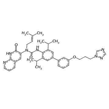 CC(C)=CCN(C(=O)Nc1c(C(C)C)cc(-c2cccc(OCCCn3cncn3)c2)cc1C(C)C)c1cc2cccnc2[nH]c1=O